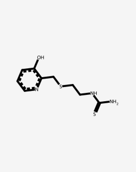 NC(=S)NCCSCc1ncccc1O